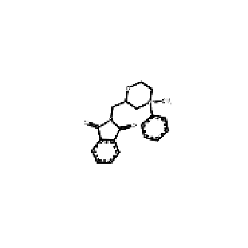 C[N+]1(c2ccccc2)CCOC(CN2C(=O)c3ccccc3C2=O)C1